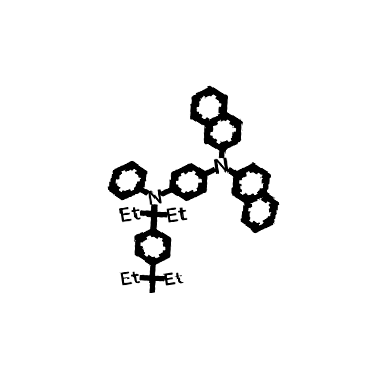 CCC(C)(CC)c1ccc(C(CC)(CC)N(c2ccccc2)c2ccc(N(c3ccc4ccccc4c3)c3ccc4ccccc4c3)cc2)cc1